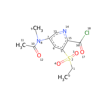 CCS(=O)(=O)c1cc(N(C)C(C)=O)cnc1C(=O)Cl